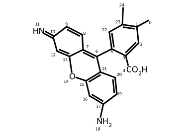 Cc1cc(C(=O)O)c(-c2c3ccc(=N)cc-3oc3cc(N)ccc23)cc1C